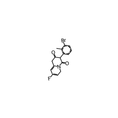 Cc1c(Br)cccc1C1C(=O)CC2=CC(F)=CCN2C1=O